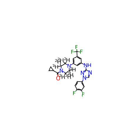 [2H]C1([2H])N(C(=O)C2CC2)C([2H])([2H])C([2H])([2H])N(c2cc(Nc3ncn(-c4ccc(F)c(F)c4)n3)cc(C(F)(F)F)c2)C1([2H])[2H]